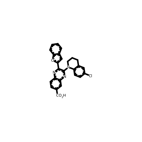 O=C(O)c1ccc2nc(-c3cc4ccccc4o3)c(N3CCCc4cc(Cl)ccc43)nc2c1